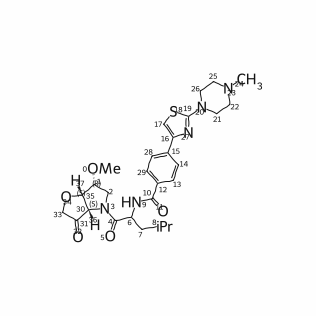 CO[C@@H]1CN(C(=O)C(CC(C)C)NC(=O)c2ccc(-c3csc(N4CCN(C)CC4)n3)cc2)[C@@H]2C(=O)CO[C@@H]21